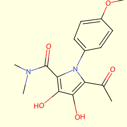 COc1ccc(-n2c(C(C)=O)c(O)c(O)c2C(=O)N(C)C)cc1